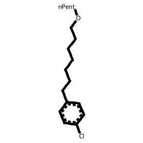 [CH2]CCCCOCCCCCCCc1ccc(Cl)cc1